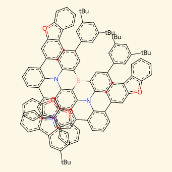 CC(C)(C)c1cc(-c2ccc3c(c2)B2c4cc(-c5cc(C(C)(C)C)cc(C(C)(C)C)c5)ccc4N(c4c(-c5ccc6c(c5)oc5ccccc56)cccc4-c4ccc5c(c4)oc4ccccc45)c4cc(-n5c6ccccc6c6cc(C(C)(C)C)ccc65)cc(c42)N3c2c(-c3ccc4c(c3)oc3ccccc34)cccc2-c2ccc3c(c2)oc2ccccc23)cc(C(C)(C)C)c1